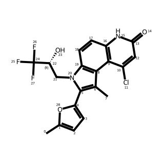 Cc1ccc(-c2c(C)c3c4c(Cl)cc(=O)[nH]c4ccc3n2C[C@@H](O)C(F)(F)F)o1